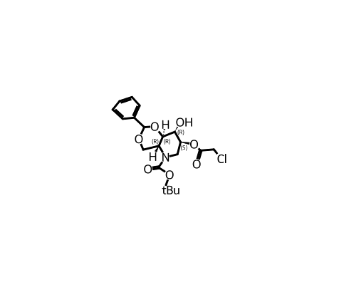 CC(C)(C)OC(=O)N1C[C@H](OC(=O)CCl)[C@@H](O)[C@@H]2OC(c3ccccc3)OC[C@H]21